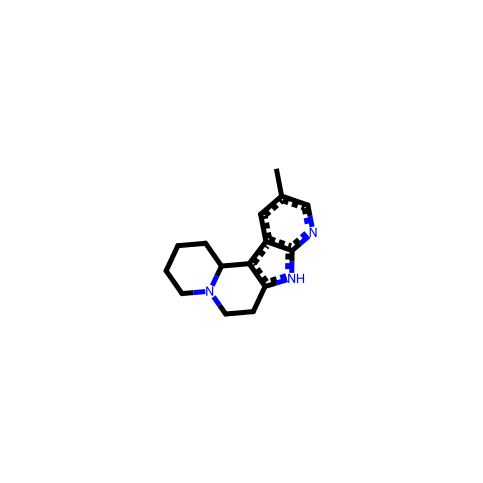 Cc1cnc2[nH]c3c(c2c1)C1CCCCN1CC3